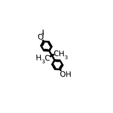 CC(C)(c1ccc(O)cc1)c1ccc(OI)cc1